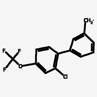 [CH2]c1cccc(-c2ccc(OC(F)(F)F)cc2Cl)c1